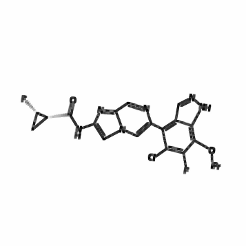 CC(C)Oc1c(F)c(Cl)c(-c2cn3cc(NC(=O)[C@@H]4C[C@@H]4F)nc3cn2)c2cn[nH]c12